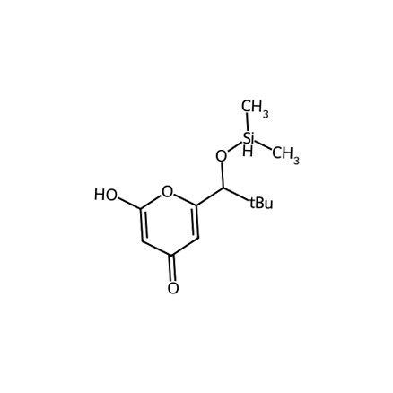 C[SiH](C)OC(c1cc(=O)cc(O)o1)C(C)(C)C